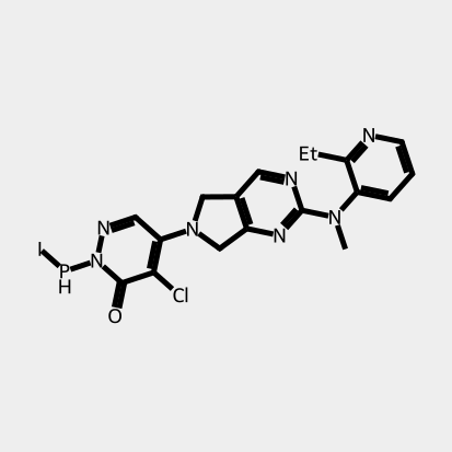 CCc1ncccc1N(C)c1ncc2c(n1)CN(c1cnn(PI)c(=O)c1Cl)C2